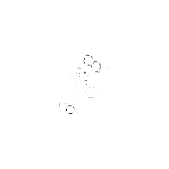 Cc1cnc2c(S(=O)(=O)NC(CCCSc3ncc[nH]3)C(=O)N3CCC(C)CC3)cccc2c1